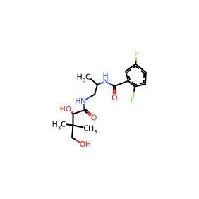 CC(CNC(=O)[C@H](O)C(C)(C)CO)NC(=O)c1cc(F)ccc1F